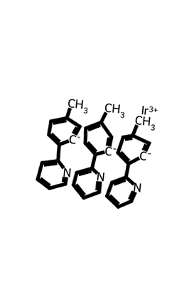 Cc1c[c-]c(-c2ccccn2)cc1.Cc1c[c-]c(-c2ccccn2)cc1.Cc1c[c-]c(-c2ccccn2)cc1.[Ir+3]